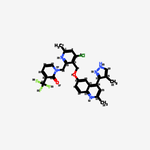 Cc1cc(Cl)c(COc2ccc3nc(C)cc(-c4n[nH]cc4C)c3c2)c(Cn2cccc(C(F)(F)F)c2=O)n1